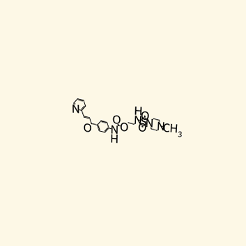 CN1CCN(S(=O)(=O)NCCOC(=O)Nc2ccc(C(=O)/C=C/c3ccccn3)cc2)CC1